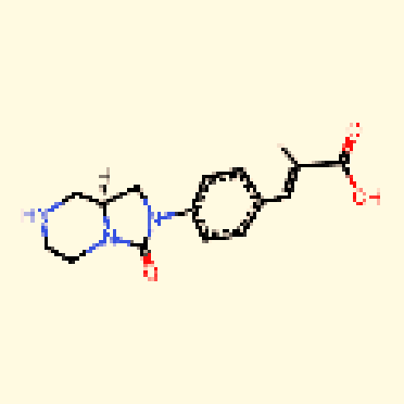 C/C(=C\c1ccc(N2C[C@@H]3CNCCN3C2=O)cc1)C(=O)O